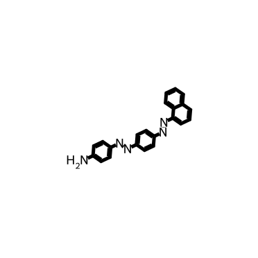 Nc1ccc(N=Nc2ccc(N=Nc3cccc4ccccc34)cc2)cc1